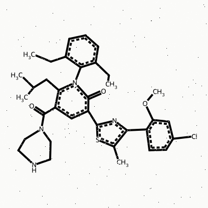 CCc1cccc(CC)c1-n1c(CC(C)C)c(C(=O)N2CCNCC2)cc(-c2nc(-c3ccc(Cl)cc3OC)c(C)s2)c1=O